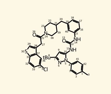 Cc1ccc(-n2nc(C(C)(C)C)cc2NC(=O)Nc2cccc(CC3CCN(C(=O)Cc4csc5ccc(Cl)cc45)CC3)c2)cc1